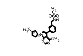 CS(=O)(=O)NCc1cccc(-c2cn([C@H]3CC[C@H](N)C3)c3ncnc(N)c23)c1